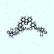 COc1cc(-c2cccc(-c3cccc(-c4ccn5c(=O)c(CNC[C@H]6CCC(=O)N6)cnc5c4)c3Cl)c2Cl)cnc1CNC[C@@H]1CCC(=O)N1